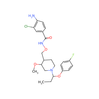 CCC(Oc1ccc(F)cc1)N1CCC(CONC(=O)c2ccc(N)c(Cl)c2)C(OC)C1